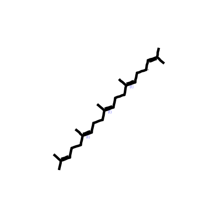 CC(C)=C[CH]C/C=C(\C)CC/C=C(\C)CC/C=C(\C)CCC=C(C)C